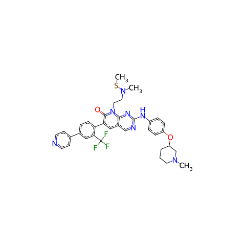 CSN(C)CCn1c(=O)c(-c2ccc(-c3ccncc3)cc2C(F)(F)F)cc2cnc(Nc3ccc(OC4CCCN(C)C4)cc3)nc21